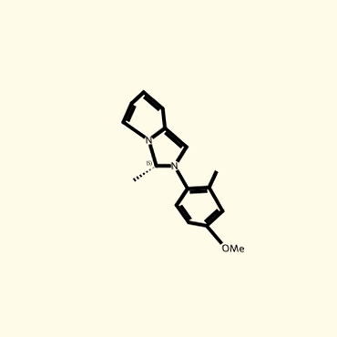 COc1ccc(N2C=C3C=CC=CN3[C@H]2C)c(C)c1